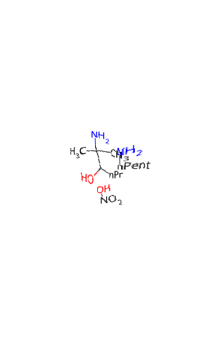 CCCC(O)C(C)(C)N.CCCCCN.O=[N+]([O-])O